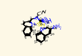 N#CN(Cc1ccc2ccccc2n1)C(=N)S.Nc1cnc2ccccc2c1